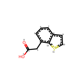 O=C(O)Cc1cccc2ccsc12